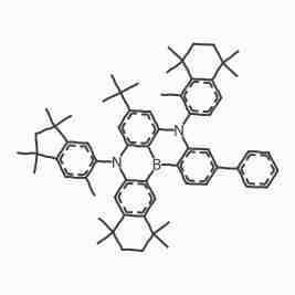 Cc1cc2c(cc1N1c3cc4c(cc3B3c5ccc(-c6ccccc6)cc5N(c5ccc6c(c5C)C(C)(C)CCC6(C)C)c5cc(C(C)(C)C)cc1c53)C(C)(C)CCC4(C)C)C(C)(C)CC2(C)C